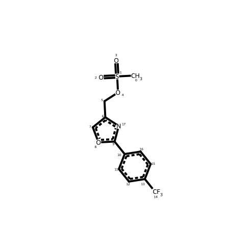 CS(=O)(=O)OCc1coc(-c2ccc(C(F)(F)F)cc2)n1